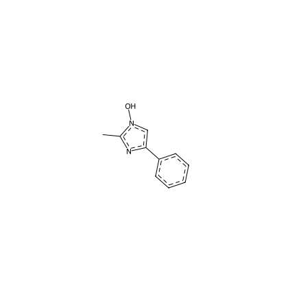 Cc1nc(-c2ccccc2)cn1O